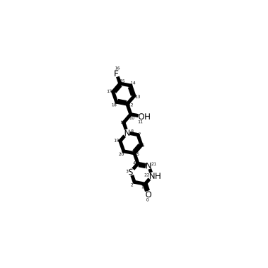 O=C1CSC(C2=CCN(CC(O)c3ccc(F)cc3)CC2)=NN1